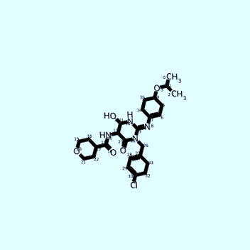 CC(C)OC1CC=C(/N=C2\NC(O)C(NC(=O)C3CCOCC3)C(=O)N2CC2=CC=C(Cl)CC2)CC1